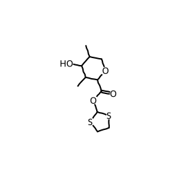 CC1COC(C(=O)OC2SCCS2)C(C)C1O